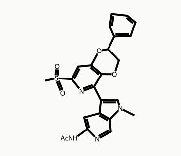 CC(=O)Nc1cc2c(-c3nc(S(C)(=O)=O)cc4c3OCC(c3ccccc3)O4)cn(C)c2cn1